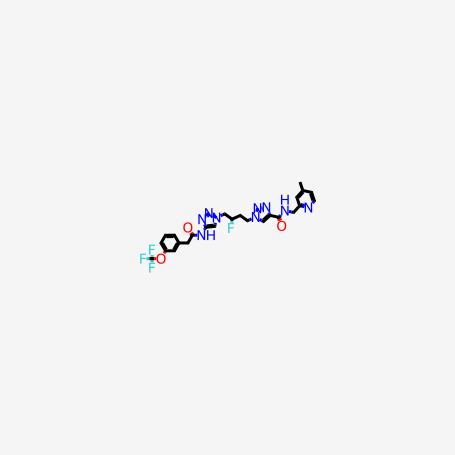 Cc1ccnc(CNC(=O)c2cn(CCC(F)Cn3cc(NC(=O)Cc4cccc(OC(F)(F)F)c4)nn3)nn2)c1